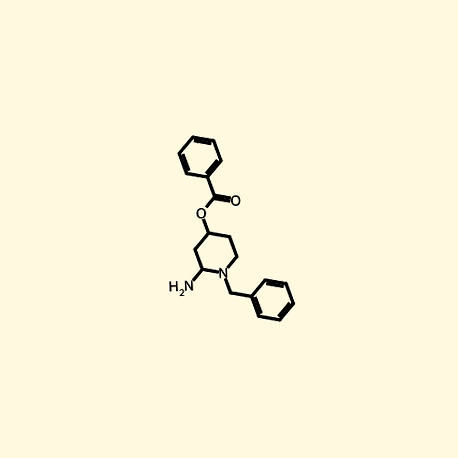 NC1CC(OC(=O)c2ccccc2)CCN1Cc1ccccc1